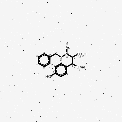 COC(c1ccc(O)cc1)C(C(=O)O)N(SCc1ccccc1)C(C)=O